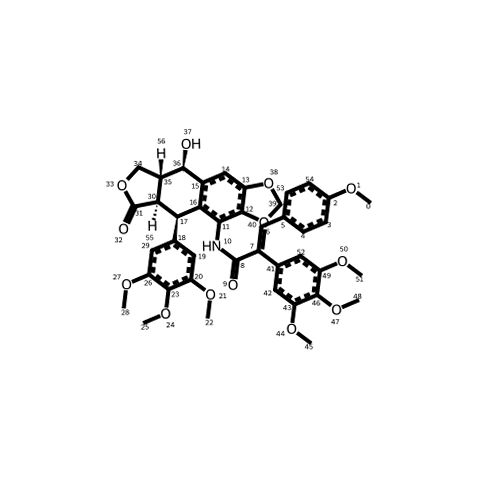 COc1ccc(/C=C(/C(=O)Nc2c3c(cc4c2[C@@H](c2cc(OC)c(OC)c(OC)c2)[C@H]2C(=O)OC[C@@H]2[C@H]4O)OCO3)c2cc(OC)c(OC)c(OC)c2)cc1